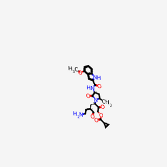 COc1cccc2[nH]c(C(=O)N[C@H]3CC(C)N([C@@H](C[C@@H](C=O)CCN)C(=O)COC(=O)C4CC4)C3=O)cc12